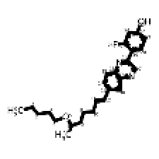 CCCCCOC(C)CCCC=Cc1ccc2nc(-c3ccc(O)cc3F)cnc2c1